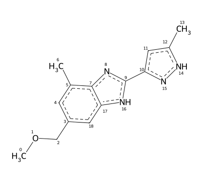 COCc1cc(C)c2nc(-c3cc(C)[nH]n3)[nH]c2c1